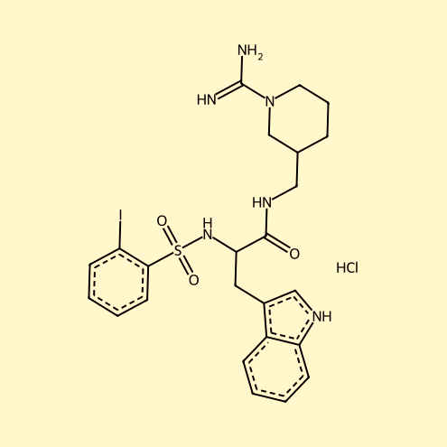 Cl.N=C(N)N1CCCC(CNC(=O)C(Cc2c[nH]c3ccccc23)NS(=O)(=O)c2ccccc2I)C1